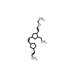 C/C=C/C1CCC(/C=C\C2CC(/C=C/OCC)C(CC)C2)C1